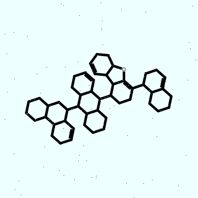 C1=CC2C(CC1)OC1=C(C3CCC=C4CCCCC43)CCC(C3C4C=CCCC4C(C4CC5CCCCC5C5CCC=CC54)C4CCCCC43)C12